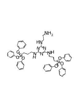 NCCNc1nc(NCCC[Si](Oc2ccccc2)(Oc2ccccc2)Oc2ccccc2)nc(NCCC[Si](Oc2ccccc2)(Oc2ccccc2)Oc2ccccc2)n1